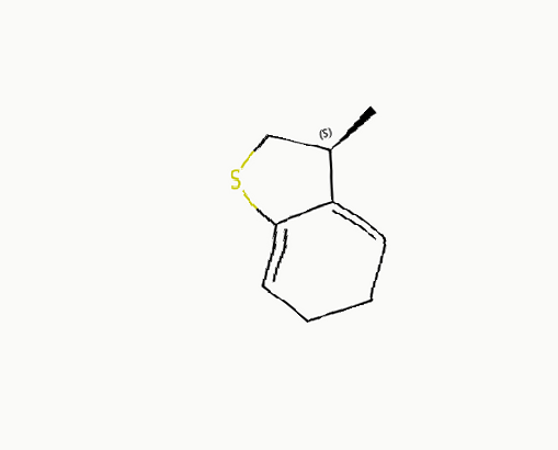 C[C@@H]1CSC2=CCCC=C21